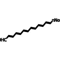 CCCCCCCCCC=CC=CC=CC=CC=CC=CC=O